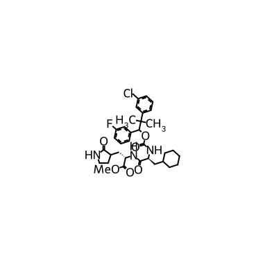 COC(=O)[C@H](CC1CCNC1=O)NC(=O)[C@H](CC1CCCCC1)NC(=O)OC(c1cccc(F)c1)C(C)(C)c1cccc(Cl)c1